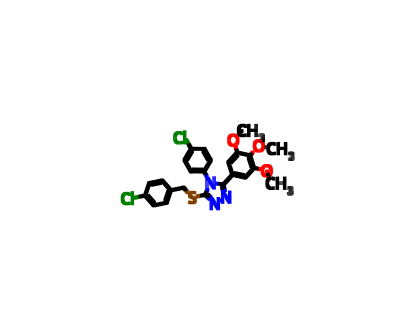 COc1cc(-c2nnc(SCc3ccc(Cl)cc3)n2-c2ccc(Cl)cc2)cc(OC)c1OC